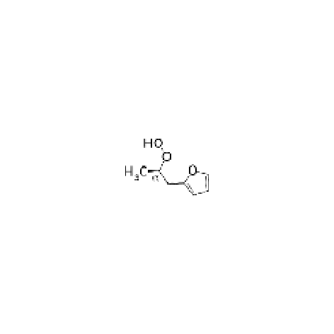 C[C@H](Cc1ccco1)OO